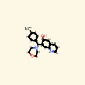 N#Cc1ccc(C(c2cc3ncccc3cc2O)N2CCOCC2)cc1